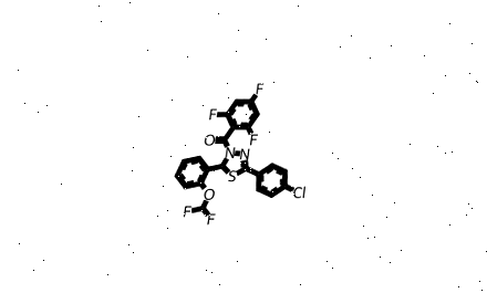 O=C(c1c(F)cc(F)cc1F)N1N=C(c2ccc(Cl)cc2)SC1c1ccccc1OC(F)F